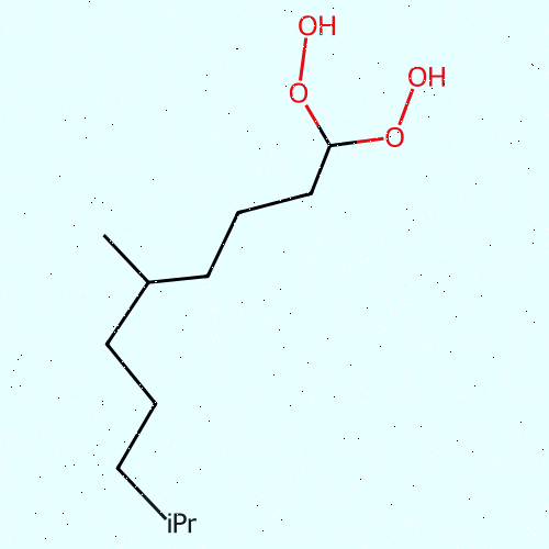 CC(C)CCCC(C)CCCC(OO)OO